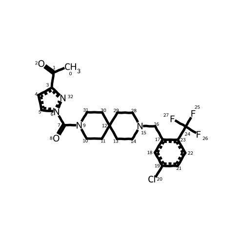 CC(=O)c1ccn(C(=O)N2CCC3(CCN(Cc4cc(Cl)ccc4C(F)(F)F)CC3)CC2)n1